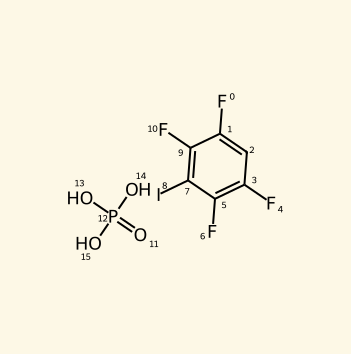 Fc1cc(F)c(F)c(I)c1F.O=P(O)(O)O